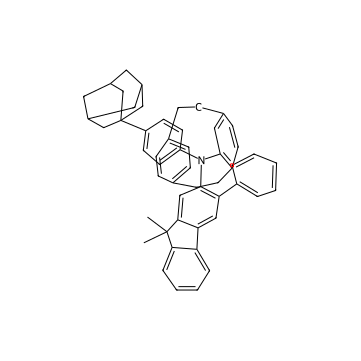 CC1(C)c2ccccc2-c2cc(-c3ccccc3)c(N(c3ccc(C45CC6CC(CC(C6)C4)C5)cc3)c3cc4ccc3CCc3ccc(cc3)CC4)cc21